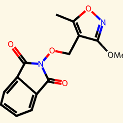 COc1noc(C)c1CON1C(=O)c2ccccc2C1=O